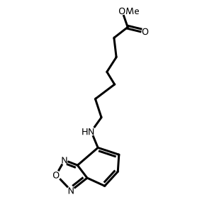 COC(=O)CCCCCCNc1cccc2nonc12